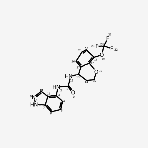 O=C(Nc1cccc2[nH]ncc12)N[C@@H]1CCOc2c(OC(F)(F)F)cccc21